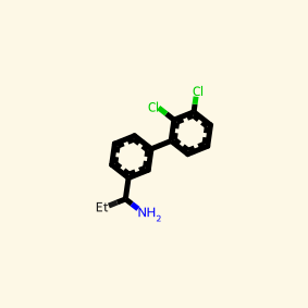 [CH2]CC(N)c1cccc(-c2cccc(Cl)c2Cl)c1